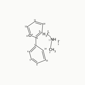 CNC.[I-].c1ccc(-c2cccc[o+]2)cc1